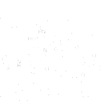 O=C(C1=C(c2ccc(OCCOc3c(Cl)cccc3Cl)cc2)CCNC1CO)N(Cc1cc(CNCC(F)F)ccc1Cl)C1CC1